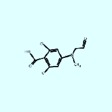 CN(CC=O)c1cc(Cl)c(C(=O)O)c(Cl)c1